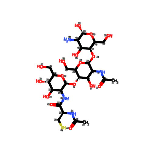 CC(=O)NC1C(O)[C@H](O[C@@H]2OC(CO)[C@@H](O)C(O)C2NC(=O)[C@H](CS)NC(C)=O)C(CO)O[C@H]1O[C@@H]1C(CO)O[C@@H](O)C(N)C1O